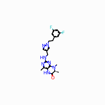 Cc1nc(NCc2cnn(CCc3cc(F)cc(F)c3)c2)nc2c1NC(=O)[C@H](C)N2C